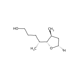 [3H][C@H]1C[C@H](C)[C@@H]([C@H](C)CCCO)O1